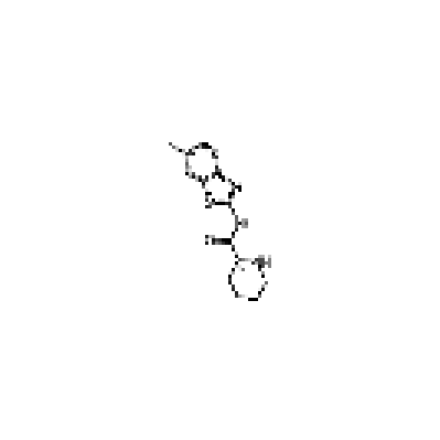 Cc1ccc2nc(NC(=O)[C@@H]3CCCCN3)sc2c1